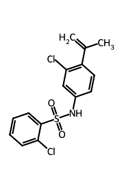 C=C(C)c1ccc(NS(=O)(=O)c2ccccc2Cl)cc1Cl